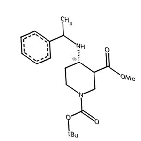 COC(=O)C1CN(C(=O)OC(C)(C)C)CC[C@@H]1NC(C)c1ccccc1